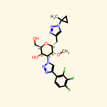 CO[C@@H]1[C@@H](n2cc(-c3ccc(F)c(F)c3F)nn2)[C@@H](O)[C@@H](CO)O[C@@H]1Cc1cn(C2(C)CC2)nn1